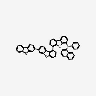 c1ccc(N(c2cccc3ccccc23)c2cccc3c2oc2c(-c4cccc5sc6cc(-c7ccc8c(c7)sc7ccccc78)ccc6c45)cccc23)cc1